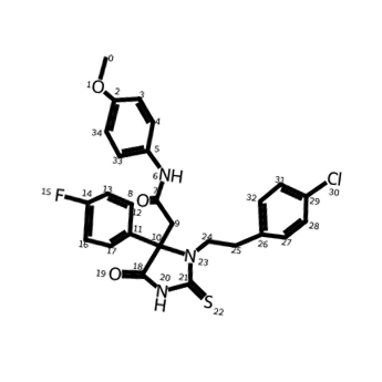 COc1ccc(NC(=O)CC2(c3ccc(F)cc3)C(=O)NC(=S)N2CCc2ccc(Cl)cc2)cc1